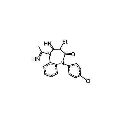 CCC1C(=N)N(C(C)=N)c2ccccc2N(c2ccc(Cl)cc2)C1=O